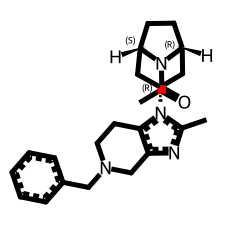 CC(=O)N1[C@@H]2CC[C@H]1C[C@@H](n1c(C)nc3c1CCN(Cc1ccccc1)C3)C2